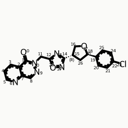 O=c1c2cccnc2cnn1Cc1nc([C@@H]2CO[C@@H](c3ccc(Cl)cc3)C2)no1